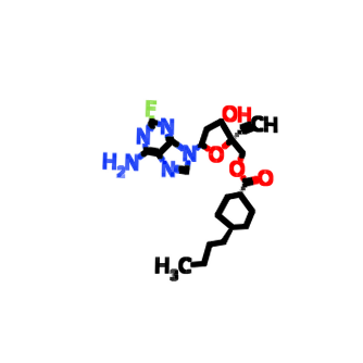 C#C[C@]1(COC(=O)[C@H]2CC[C@H](CCCC)CC2)O[C@@H](n2cnc3c(N)nc(F)nc32)C[C@@H]1O